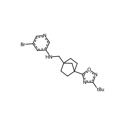 CC(C)(C)c1noc(C23CCC(CNc4cncc(Br)c4)(CC2)C3)n1